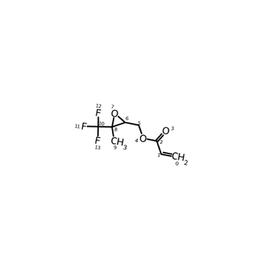 C=CC(=O)OCC1OC1(C)C(F)(F)F